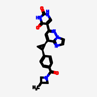 CC1CN(C(=O)c2ccc([C@H]3C[C@@H]3c3cc(-c4c[nH]c(=O)[nH]c4=O)nn4ccnc34)cc2)C1